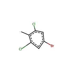 [CH2]c1c(Cl)cc(Br)cc1Cl